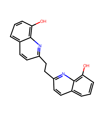 Oc1cccc2ccc(CCc3ccc4cccc(O)c4n3)nc12